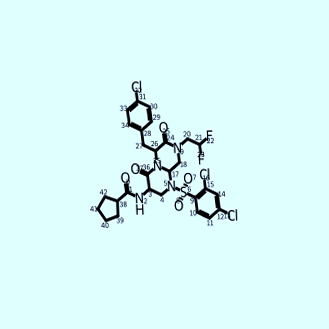 O=C(NC1CN(S(=O)(=O)c2ccc(Cl)cc2Cl)C2CN(CC(F)F)C(=O)C(Cc3ccc(Cl)cc3)N2C1=O)C1CCCC1